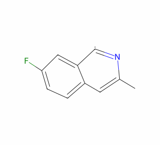 Cc1cc2ccc(F)cc2[c]n1